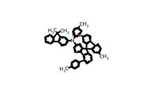 Cc1ccc(-c2cccc3c2-c2ccc(N(c4ccc(C)cc4)c4ccc5c(c4)C(C)(C)c4ccccc4-5)cc2C32c3cc(C)ccc3-c3ccc(C)cc32)cc1